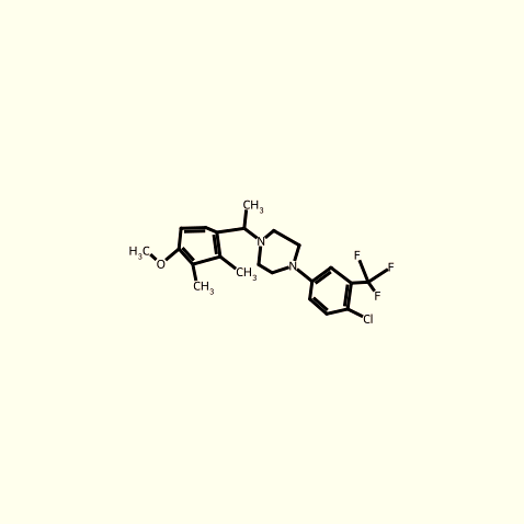 COc1ccc(C(C)N2CCN(c3ccc(Cl)c(C(F)(F)F)c3)CC2)c(C)c1C